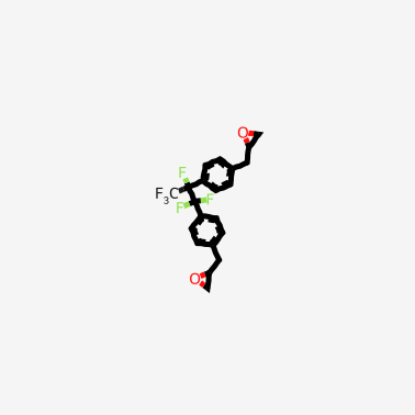 FC(F)(F)C(F)(c1ccc(CC2CO2)cc1)C(F)(F)c1ccc(CC2CO2)cc1